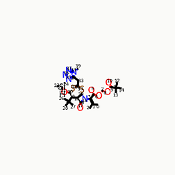 CC(C)=C(C(=O)OCOC(=O)C(C)(C)C)N1C(=O)[C@@H]([C@H](CO[SiH](C)C)C(C)(C)C)[C@H]1SC(=S)Cc1nnnn1C